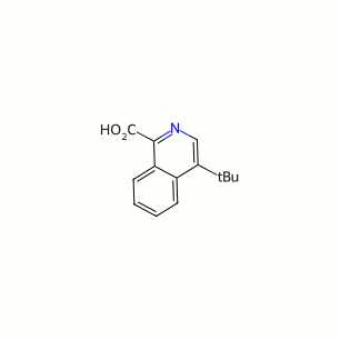 CC(C)(C)c1cnc(C(=O)O)c2ccccc12